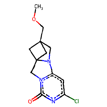 COCC12CN3c4cc(Cl)nc(=O)n4CC3(C1)C2